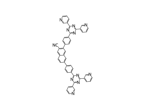 N#Cc1cc2ccc(-c3ccc(-c4nc(-c5cccnc5)nc(-c5cccnc5)n4)cc3)cc2cc1-c1ccc(-c2nc(-c3cccnc3)nc(-c3cccnc3)n2)cc1